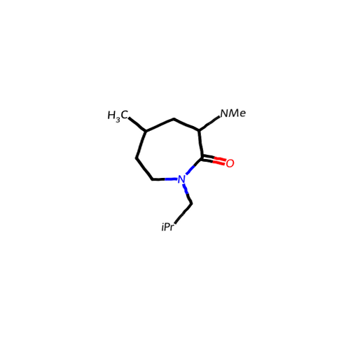 CNC1CC(C)CCN(CC(C)C)C1=O